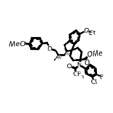 CCOc1ccc2c(c1)C1(CCC(C(=O)OC)(N(C(=O)C(F)(F)F)c3ccc(F)c(Cl)c3)CC1)[C@@H](C[C@@H](C)COCc1ccc(OC)cc1)C2